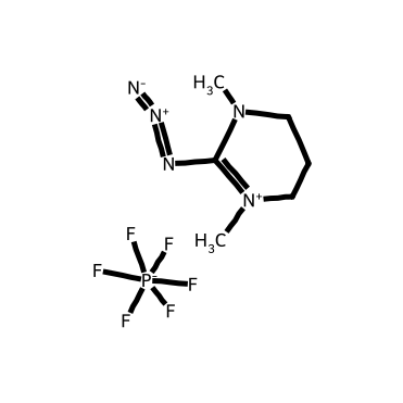 CN1CCC[N+](C)=C1N=[N+]=[N-].F[P-](F)(F)(F)(F)F